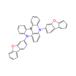 c1ccc2c(c1)B1c3ccccc3N(c3ccc4c(c3)oc3ccccc34)c3cccc(c31)N2c1ccc2c(c1)oc1ccccc12